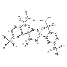 CC(C)S(=O)(=O)c1ccc(C(F)(F)F)cc1-c1ncc(-c2cc(C(F)(F)F)ccc2S(=O)(=O)C(C)C)c(N)n1